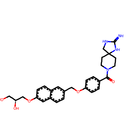 N=C1NCC2(CCN(C(=O)c3ccc(OCc4ccc5cc(OC[C@@H](O)CO)ccc5c4)cc3)CC2)N1